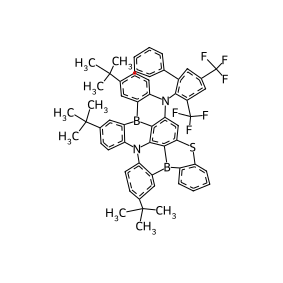 CC(C)(C)c1ccc2c(c1)B1c3cc(C(C)(C)C)ccc3N3c4ccc(C(C)(C)C)cc4B4c5ccccc5Sc5cc(c1c3c54)N2c1c(-c2ccccc2)cc(C(F)(F)F)cc1C(F)(F)F